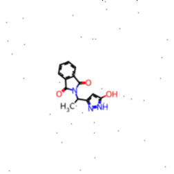 CC(c1cc(O)[nH]n1)N1C(=O)c2ccccc2C1=O